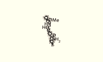 COC(CNCC(O)COc1ccc(C(=Cc2ccc(F)cc2)C(N)=O)cc1)Oc1ccccc1